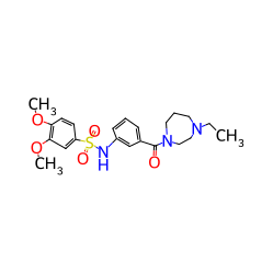 CCN1CCCN(C(=O)c2cccc(NS(=O)(=O)c3ccc(OC)c(OC)c3)c2)CC1